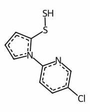 SSc1cccn1-c1ccc(Cl)cn1